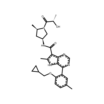 Cc1ccc(OCC2CC2)c(-c2ncnc3c(C(=O)N[C@H]4C[C@@H](C)N(C(=O)[C@H](C)O)C4)c(C)[nH]c23)c1